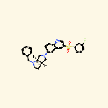 O=S(=O)(c1cccc(F)c1)c1cnc2ccc(N3C[C@@H]4CCN(Cc5ccccc5)[C@@H]4C3)cc2c1